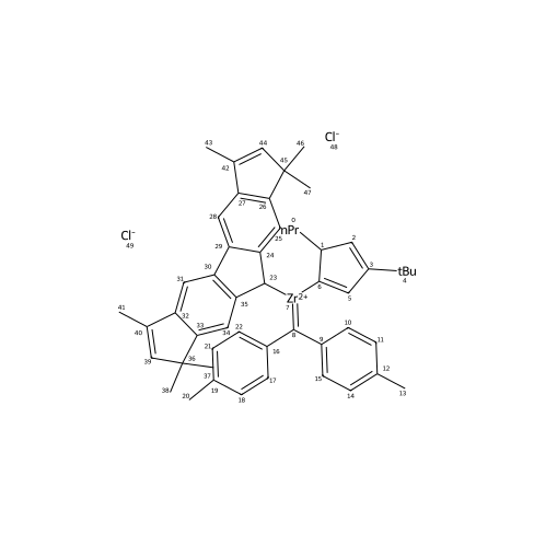 CCCC1C=C(C(C)(C)C)C=[C]1[Zr+2](=[C](c1ccc(C)cc1)c1ccc(C)cc1)[CH]1c2cc3c(cc2-c2cc4c(cc21)C(C)(C)C=C4C)C(C)=CC3(C)C.[Cl-].[Cl-]